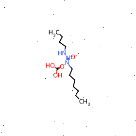 CCCCCCC/N=[N+](\[O-])NCCCC.O=C(O)O